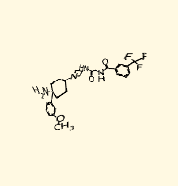 COc1cccc([C@]2(N)CC[C@H](N3CC(NC(=O)CNC(=O)c4cccc(C(F)(F)F)c4)C3)CC2)c1